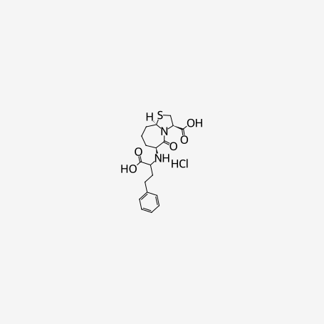 Cl.O=C(O)C(CCc1ccccc1)N[C@H]1CCC[C@H]2SC[C@@H](C(=O)O)N2C1=O